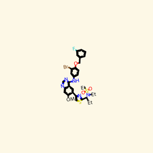 CCC(c1nc(-c2cc3c(Nc4ccc(OCc5cccc(F)c5)c(Br)c4)ncnc3cc2OC)cs1)N(CC)S(=O)(=O)CC